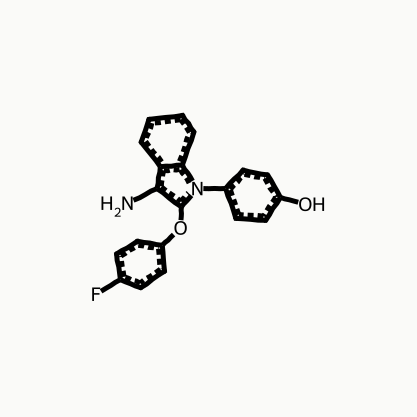 Nc1c(Oc2ccc(F)cc2)n(-c2ccc(O)cc2)c2ccccc12